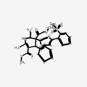 COC(=O)C1=C(C)NC(C)C(C(=O)OC)(c2nc(-c3ccccc3S(N)(=O)=O)cs2)C1c1ccccc1